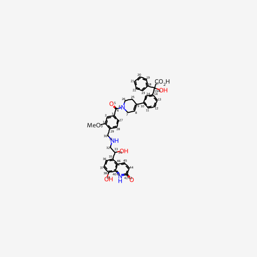 COc1cc(C(=O)N2CC=C(c3cccc(C(O)(C(=O)O)c4ccccc4)c3)CC2)ccc1CNCC(O)c1ccc(O)c2[nH]c(=O)ccc12